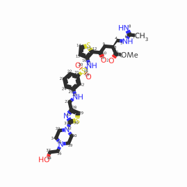 COC(=O)[C@H](CNC(C)=N)CC(=O)c1sccc1NS(=O)(=O)c1cccc(NCc2csc(N3CCN(CCO)CC3)n2)c1